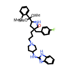 COc1ccccc1C(OC)(OC)C1CC(CCCN2CCC(Nc3nc4ccccc4[nH]3)CC2)(Cc2ccc(F)cc2)C(=O)N1